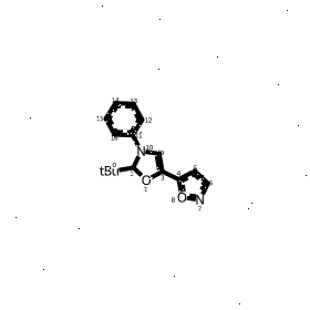 CC(C)(C)C1OC(c2ccno2)=[C]N1c1ccccc1